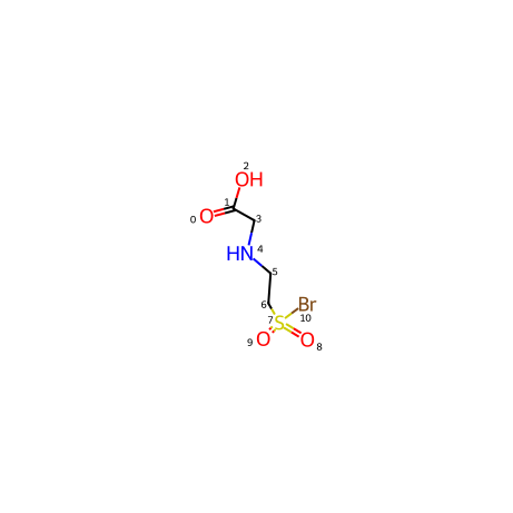 O=C(O)CNCCS(=O)(=O)Br